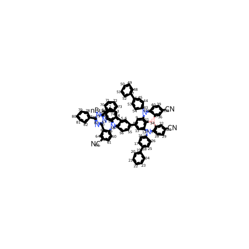 CCCCc1ccc2c3cc(-c4cc5c6c(c4)N(c4ccc(-c7ccccc7)cc4)c4ccc(C#N)cc4B6c4cc(C#N)ccc4N5c4ccc(-c5ccccc5)cc4)ccc3n(-c3ccc(C#N)cc3-c3nc(-c4ccccc4)nc(-c4ccccc4)n3)c2c1